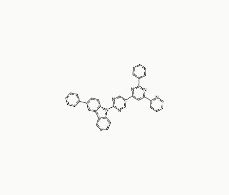 c1ccc(-c2ccc3c(c2)c2ccccc2n3-c2ncc(-c3cc(-c4ccccn4)nc(-c4ccccc4)n3)cn2)cc1